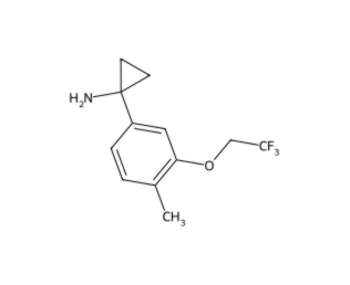 Cc1ccc(C2(N)CC2)cc1OCC(F)(F)F